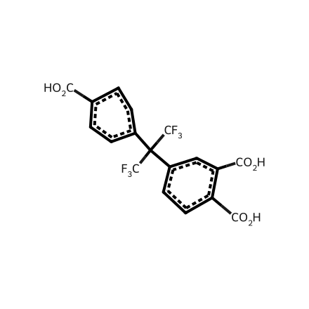 O=C(O)c1ccc(C(c2ccc(C(=O)O)c(C(=O)O)c2)(C(F)(F)F)C(F)(F)F)cc1